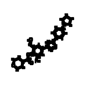 O=Cc1cc(-c2nc(-c3ccc(N4CCCC4)cc3)ns2)cc(F)c1OC(=O)N1CCOCC1